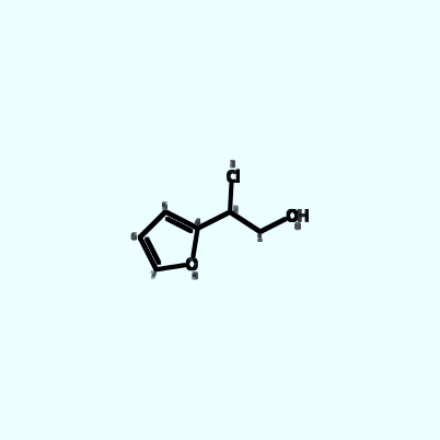 OCC(Cl)c1ccco1